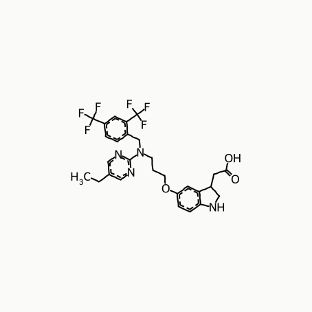 CCc1cnc(N(CCCOc2ccc3c(c2)C(CC(=O)O)CN3)Cc2ccc(C(F)(F)F)cc2C(F)(F)F)nc1